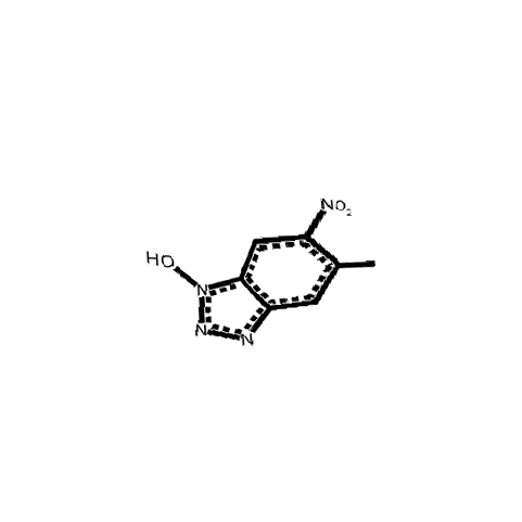 Cc1cc2nnn(O)c2cc1[N+](=O)[O-]